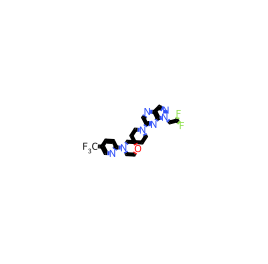 FC(F)Cn1ncc2ncc(N3CCC4(CC3)CN(c3ccc(C(F)(F)F)cn3)CCO4)nc21